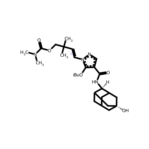 CC(C)COc1c(C(=O)N[C@H]2C3CC4CC2C[C@](O)(C4)C3)cnn1/C=C/C(C)(C)COC(=O)N(C)C